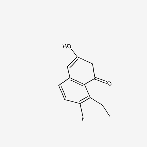 CCc1c(F)ccc2c1C(=O)CC(O)=C2